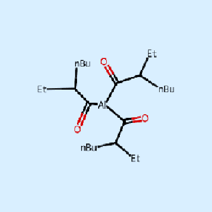 CCCCC(CC)[C](=O)[Al]([C](=O)C(CC)CCCC)[C](=O)C(CC)CCCC